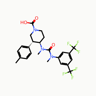 Cc1ccc([C@@H]2CN(C(=O)O)CC[C@H]2N(C)C(=O)N(C)c2cc(C(F)(F)F)cc(C(F)(F)F)c2)cc1